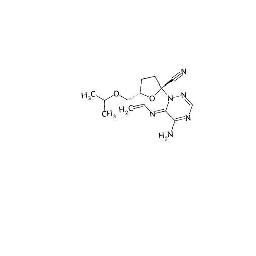 C=C/N=c1/c(N)ncnn1[C@@]1(C#N)CC[C@@H](COC(C)C)O1